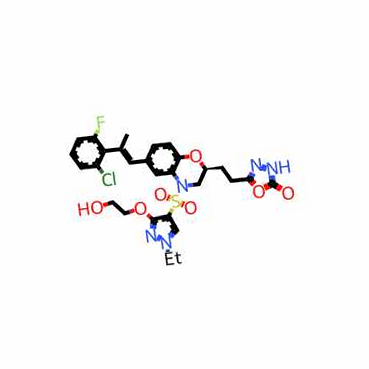 CCn1cc(S(=O)(=O)N2C[C@H](CCc3n[nH]c(=O)o3)Oc3ccc(/C=C(\C)c4c(F)cccc4Cl)cc32)c(OCCO)n1